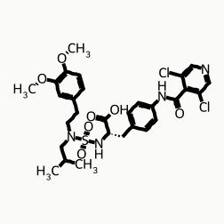 COc1ccc(CCN(CC(C)C)S(=O)(=O)N[C@@H](Cc2ccc(NC(=O)c3c(Cl)cncc3Cl)cc2)C(=O)O)cc1OC